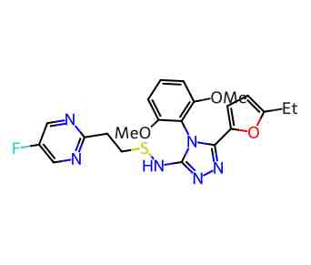 CCc1ccc(-c2nnc(NSCCc3ncc(F)cn3)n2-c2c(OC)cccc2OC)o1